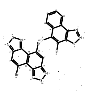 Brc1c(Br)c2snnc2c2ccccc12.Brc1cc2nsnc2c2c(Br)cc3nsnc3c12